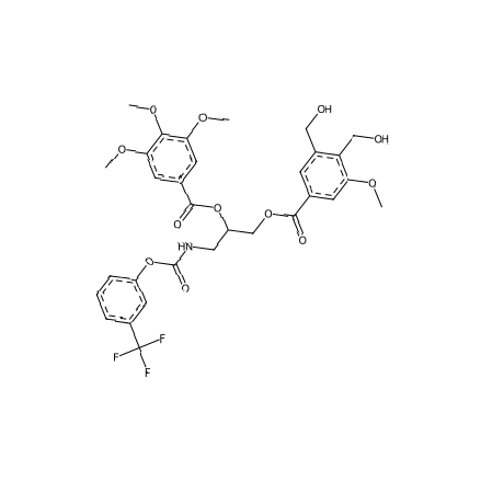 COc1cc(C(=O)OCC(CNC(=O)Oc2cccc(C(F)(F)F)c2)OC(=O)c2cc(OC)c(OC)c(OC)c2)cc(CO)c1CO